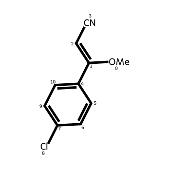 COC(=CC#N)c1ccc(Cl)cc1